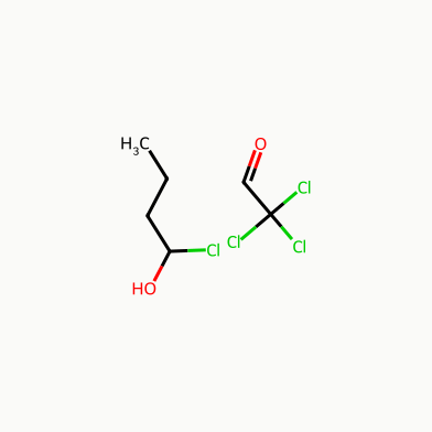 CCCC(O)Cl.O=CC(Cl)(Cl)Cl